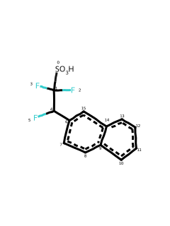 O=S(=O)(O)C(F)(F)C(F)c1ccc2ccccc2c1